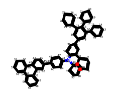 c1ccc(-c2cc(-c3cc(-c4ccccc4)c(-c4ccccc4)c(-c4ccccc4)c3)ccc2N(c2ccccc2)c2ccc(-c3ccc4c5ccccc5c5ccccc5c4c3)cc2)cc1